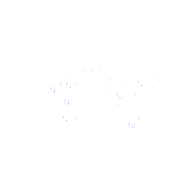 O=CO.O=S(=O)(c1ccc(Nc2nccc(-n3ccc4c(F)cccc43)n2)cc1)N(CCN1CCCC1)C1CCNCC1